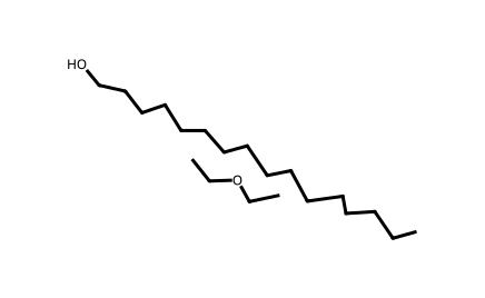 CCCCCCCCCCCCCCCCO.CCOCC